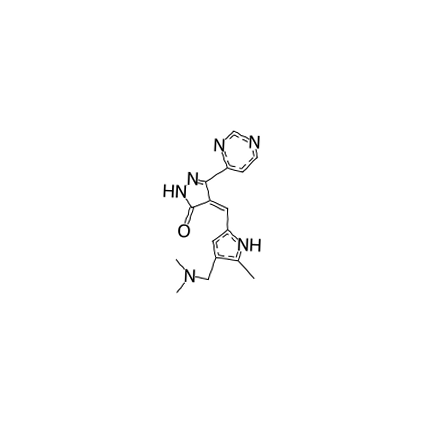 Cc1[nH]c(C=C2C(=O)NN=C2c2ccncn2)cc1CN(C)C